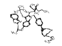 CCOC(=O)C(C)(C)Cc1c(SC(C)(C)C)c2cc(OC(C)c3nc4ccccc4s3)ccc2n1Cc1ccc(-c2ccc(OC)nc2)cc1